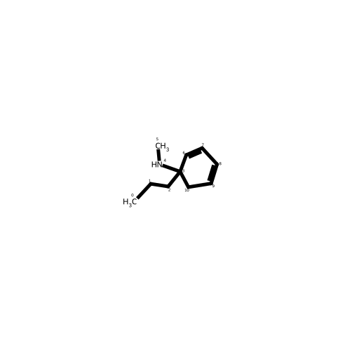 CCCC1(NC)C=CC=CC1